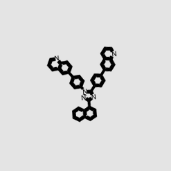 c1cnc2ccc(-c3ccc(-c4nc(-c5cccc6ccccc56)nn4-c4ccc(-c5ccc6ncccc6c5)cc4)cc3)cc2c1